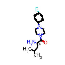 CC(C)C[C@H](N)C(=O)N1CCN(c2ccc(F)cc2)CC1